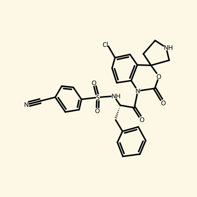 N#Cc1ccc(S(=O)(=O)N[C@@H](Cc2ccccc2)C(=O)N2C(=O)OC3(CCNC3)c3cc(Cl)ccc32)cc1